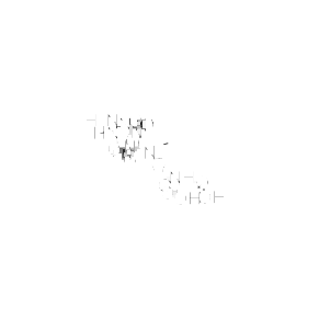 C#CCN(CC1=CN([N+](=O)[O-])c2nc(N)[nH]c(=O)c2N1[N+](=O)[O-])c1ccc(C(=O)NC(CCC(=O)O)C(=O)O)cc1